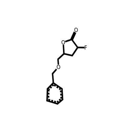 O=C1OC(COCc2ccccc2)CC1F